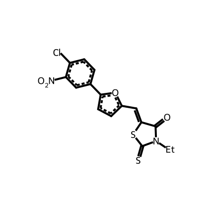 CCN1C(=O)C(=Cc2ccc(-c3ccc(Cl)c([N+](=O)[O-])c3)o2)SC1=S